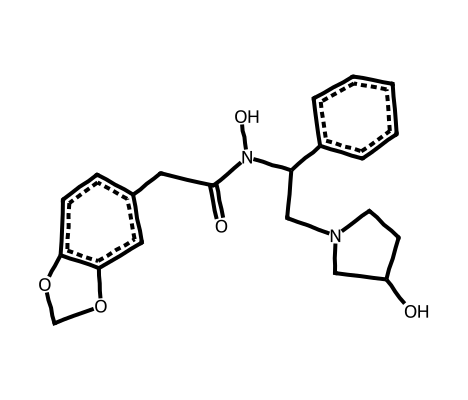 O=C(Cc1ccc2c(c1)OCO2)N(O)C(CN1CCC(O)C1)c1ccccc1